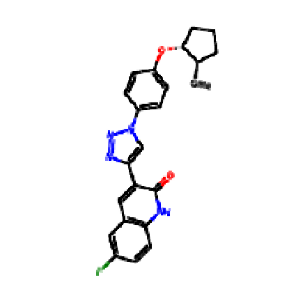 CO[C@@H]1CCC[C@H]1Oc1ccc(-n2cc(-c3cc4cc(F)ccc4[nH]c3=O)nn2)cc1